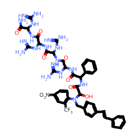 N=C(N)NC(NC(=O)C(NC(=N)N)NC(=O)C(NC(=N)N)NC(=O)C(NC(=N)N)NC(=O)C(NC(=O)C(O)N(Cc1ccc(/C=C/c2ccccc2)cc1)c1ccc([N+](=O)[O-])cc1C(F)(F)F)c1ccccc1)C(N)=O